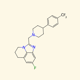 Fc1cc2c3c(c1)nc(CN1CCC(c4ccc(C(F)(F)F)cc4)CC1)n3CCC2